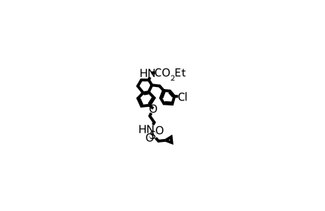 CCOC(=O)NC1CCc2ccc(OCCNS(=O)(=O)CC3CC3)cc2C1Cc1cccc(Cl)c1